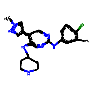 Cc1cc(Nc2ncc(-c3cnn(C)c3)c(NC3CCNCC3)n2)ccc1Cl